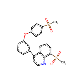 CS(=O)(=O)c1ccc(Oc2cccc(-c3ccnc4c(S(C)(=O)=O)cccc34)c2)cc1